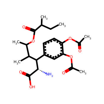 CCC(C)C(=O)OC(C)C(C)C(c1ccc(OC(C)=O)c(OC(C)=O)c1)[C@H](N)C(=O)O